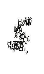 CC1(C)OB(c2cccc3cc(-c4nc(NCCn5ccnn5)ncc4F)sc23)OC1(C)C